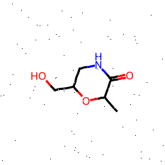 CC1OC(CO)CNC1=O